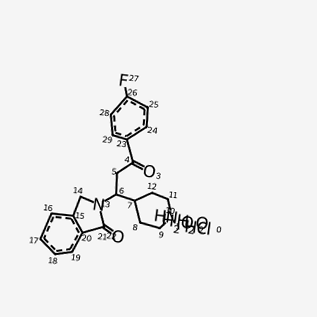 Cl.O.O.O=C(CC(C1CCNCC1)N1Cc2ccccc2C1=O)c1ccc(F)cc1